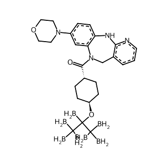 BC(B)(B)C(B)(O[C@H]1CC[C@H](C(=O)N2Cc3cccnc3Nc3ccc(N4CCOCC4)cc32)CC1)C(B)(B)B